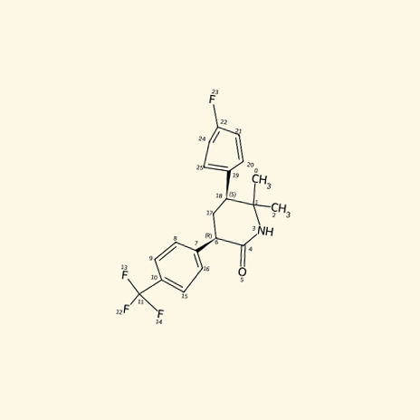 CC1(C)NC(=O)[C@@H](c2ccc(C(F)(F)F)cc2)C[C@H]1c1ccc(F)cc1